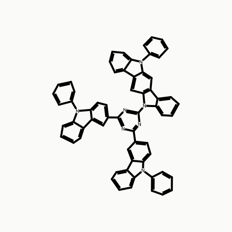 c1ccc(-n2c3ccccc3c3cc(-c4nc(-c5ccc6c(c5)c5ccccc5n6-c5ccccc5)nc(-n5c6ccccc6c6cc7c(cc65)c5ccccc5n7-c5ccccc5)n4)ccc32)cc1